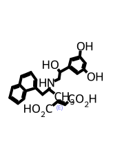 CC(Cc1cccc2ccccc12)NCC(O)c1cc(O)cc(O)c1.O=C(O)/C=C/C(=O)O